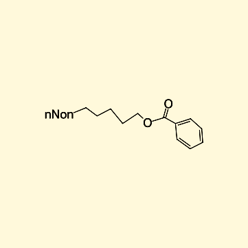 CCCCCCCCCCCCCCOC(=O)c1ccccc1